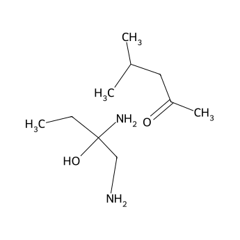 CC(=O)CC(C)C.CCC(N)(O)CN